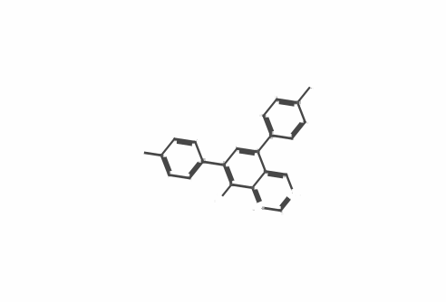 Cc1ccc(-c2cc(-c3ccc(F)cc3)c(O)c3ncncc23)cc1